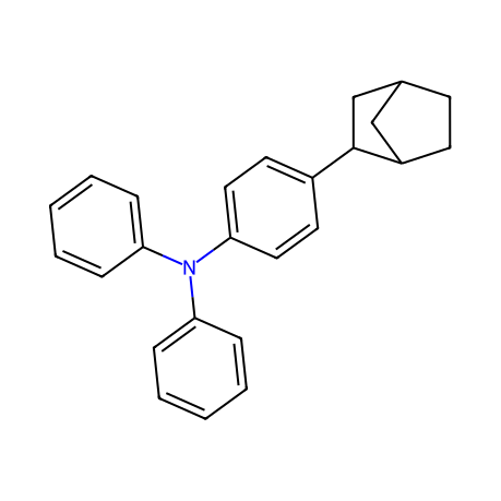 c1ccc(N(c2ccccc2)c2ccc(C3CC4CCC3C4)cc2)cc1